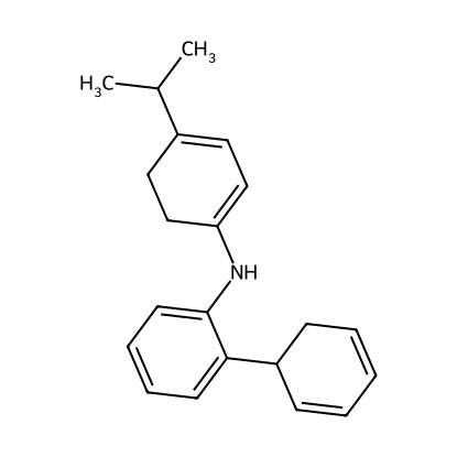 CC(C)C1=CC=C(Nc2ccccc2C2C=CC=CC2)CC1